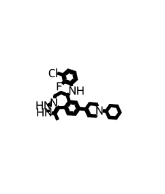 CC1=C2c3ccc(C4=CCN(C5CCCCC5)CC4)cc3C(Nc3cccc(Cl)c3F)CCN2NN1